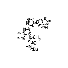 CN(CC(=O)NC(C)(C)C)c1nc(-c2cc(OCC3(O)CCCC3)ccn2)nc2c1CCC2